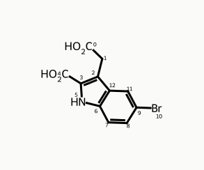 O=C(O)Cc1c(C(=O)O)[nH]c2ccc(Br)cc12